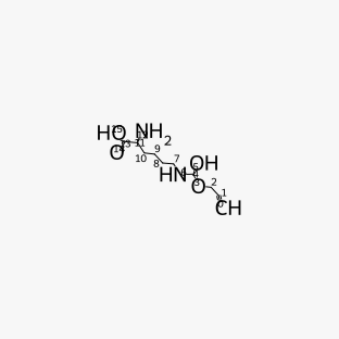 C#CCOC(O)NCCCC[C@H](N)C(=O)O